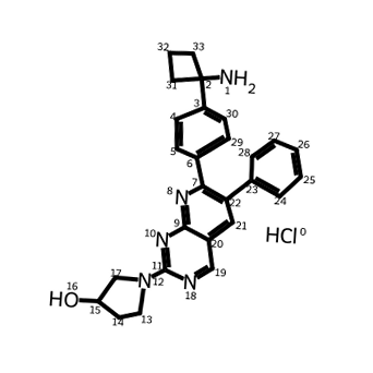 Cl.NC1(c2ccc(-c3nc4nc(N5CCC(O)C5)ncc4cc3-c3ccccc3)cc2)CCC1